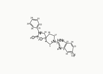 O=C1OC2(CCN(c3nc4cc(F)ccc4[nH]3)CC2)CN1c1ccccc1